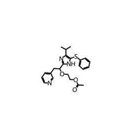 CC(=O)OCCOC(Cc1cccnc1)c1nc(C(C)C)c(Sc2ccccc2)[nH]1